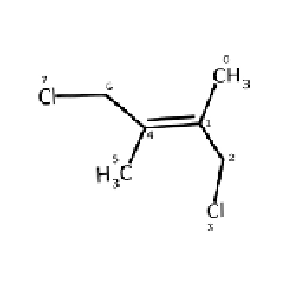 CC(CCl)=C(C)CCl